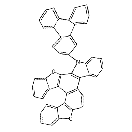 c1ccc2c(c1)oc1ccc3c(c12)c1c2ccccc2oc1c1c3c2ccccc2n1-c1ccc2c3ccccc3c3ccccc3c2c1